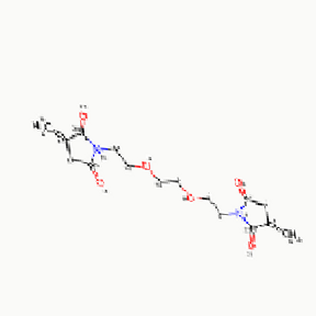 C=C1CC(=O)N(CCOCCOCCN2C(=O)CC(=C)C2=O)C1=O